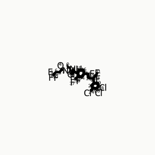 C[C@H](NC(=O)CCC(F)(F)F)NC(=O)c1ccc(C=CC(c2cc(Cl)c(Cl)c(Cl)c2)C(F)(F)F)cc1C(F)(F)F